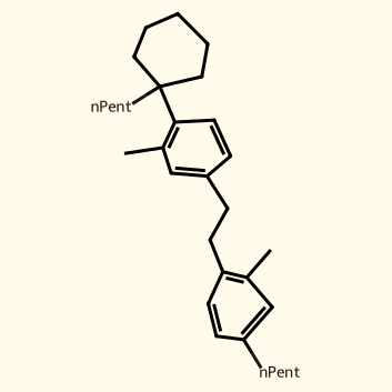 CCCCCc1ccc(CCc2ccc(C3(CCCCC)CCCCC3)c(C)c2)c(C)c1